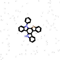 c1ccc(-n2c3ccccc3c3c4[nH]c5ccccc5c4c4c5ccccc5sc4c32)cc1